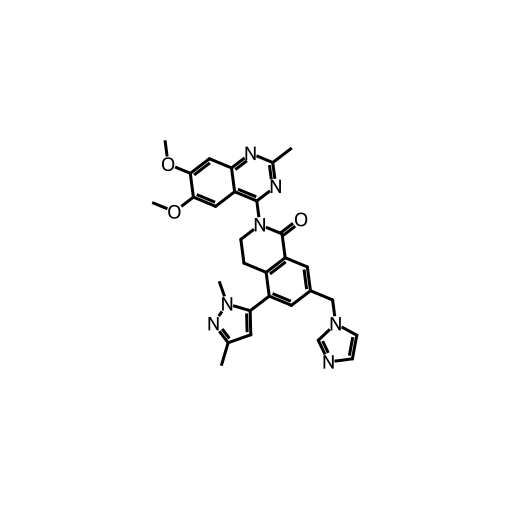 COc1cc2nc(C)nc(N3CCc4c(cc(Cn5ccnc5)cc4-c4cc(C)nn4C)C3=O)c2cc1OC